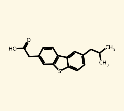 CC(C)Cc1ccc2sc3cc(CC(=O)O)ccc3c2c1